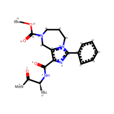 CNC(=O)[C@@H](NC(=O)c1nc(-c2ccccc2)n2c1CN(C(=O)OC(C)(C)C)CCC2)C(C)(C)C